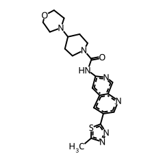 Cc1nnc(-c2cnc3cnc(NC(=O)N4CCC(N5CCOCC5)CC4)cc3c2)s1